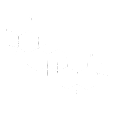 CC1(C)CCC2(C)CCC3(C)C(=CCC4C5(C)CC(O)C(O)C(C)(C)C5CCC43C)C2C1O